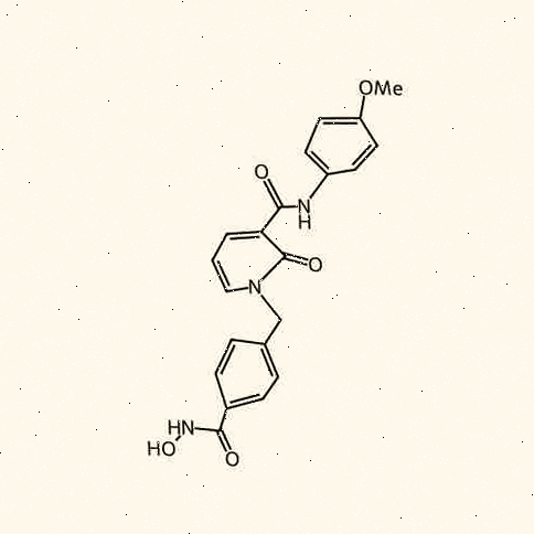 COc1ccc(NC(=O)c2cccn(Cc3ccc(C(=O)NO)cc3)c2=O)cc1